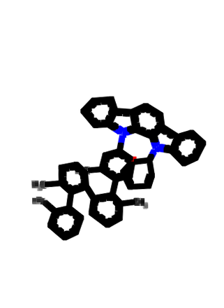 CCCc1ccccc1-c1c(C)cccc1-c1cccc(C)c1-c1ccc(-n2c3ccccc3c3ccc4c5ccccc5n(C5C=CC=CC5)c4c32)cc1C